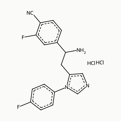 Cl.Cl.N#Cc1ccc(C(N)Cc2cncn2-c2ccc(F)cc2)cc1F